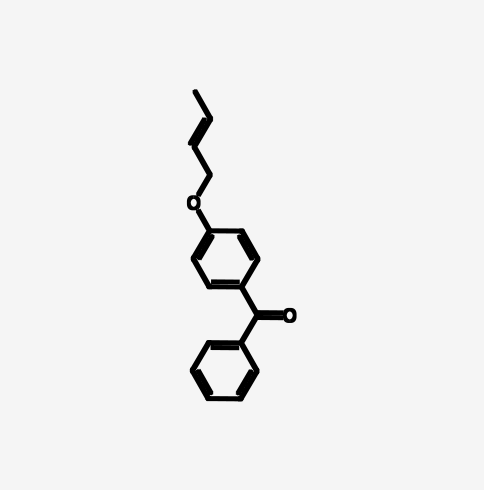 CC=CCOc1ccc(C(=O)c2ccccc2)cc1